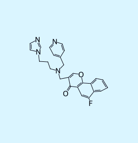 O=c1c(CN(CCCn2ccnc2)Cc2ccncc2)coc2c1cc(F)c1ccccc12